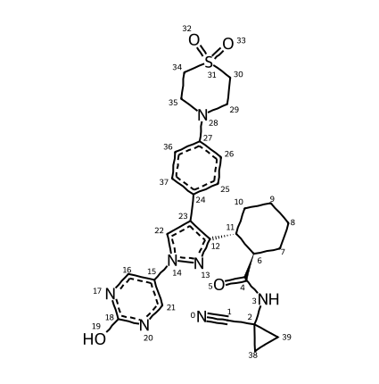 N#CC1(NC(=O)[C@@H]2CCCC[C@H]2c2nn(-c3cnc(O)nc3)cc2-c2ccc(N3CCS(=O)(=O)CC3)cc2)CC1